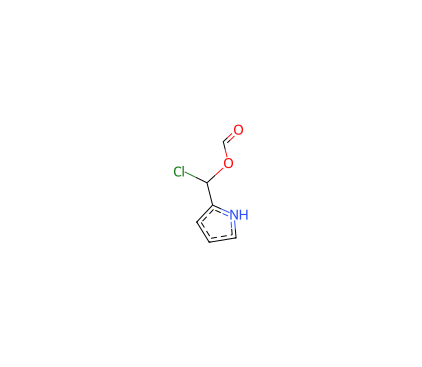 O=COC(Cl)c1ccc[nH]1